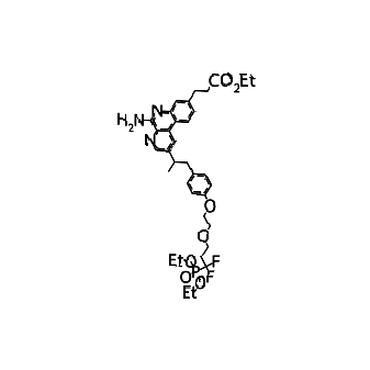 CCOC(=O)CCc1ccc2c(c1)nc(N)c1ncc(C(C)Cc3ccc(OCCOCCC(F)(F)P(=O)(OCC)OCC)cc3)cc12